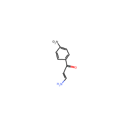 N/C=C/C(=O)c1ccc([N+](=O)[O-])cc1